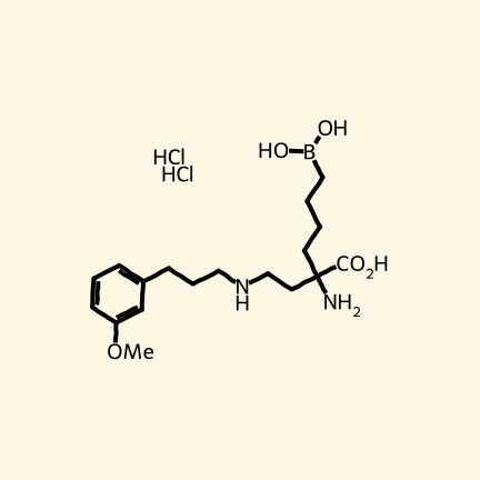 COc1cccc(CCCNCCC(N)(CCCCB(O)O)C(=O)O)c1.Cl.Cl